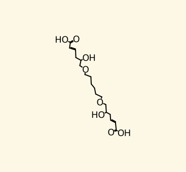 O=C(O)C=CCC(O)COCCCCCCOCC(O)CC=CC(=O)O